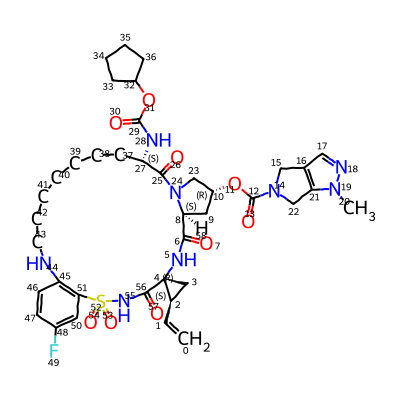 C=C[C@@H]1C[C@@]12NC(=O)[C@@H]1C[C@@H](OC(=O)N3Cc4cnn(C)c4C3)CN1C(=O)[C@@H](NC(=O)OC1CCCC1)CCCCCCCNc1ccc(F)cc1S(=O)(=O)NC2=O